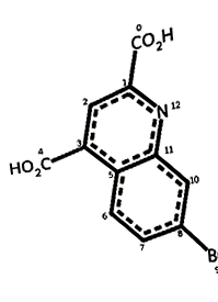 O=C(O)c1cc(C(=O)O)c2ccc(Br)cc2n1